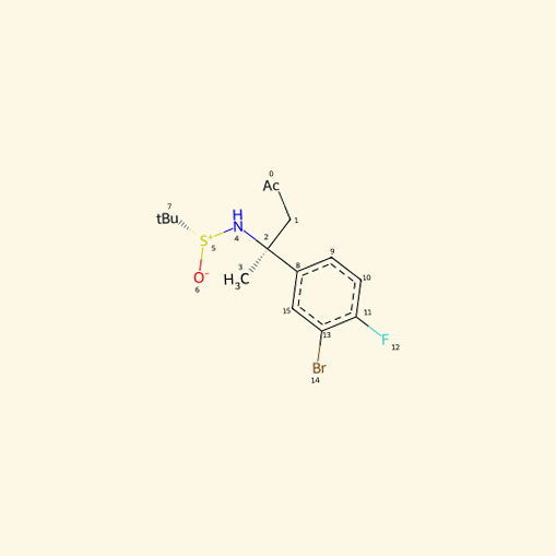 CC(=O)C[C@](C)(N[S@+]([O-])C(C)(C)C)c1ccc(F)c(Br)c1